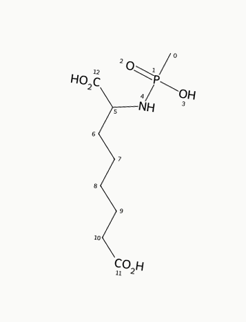 CP(=O)(O)NC(CCCCCC(=O)O)C(=O)O